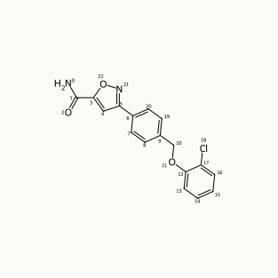 NC(=O)c1cc(-c2ccc(COc3ccccc3Cl)cc2)no1